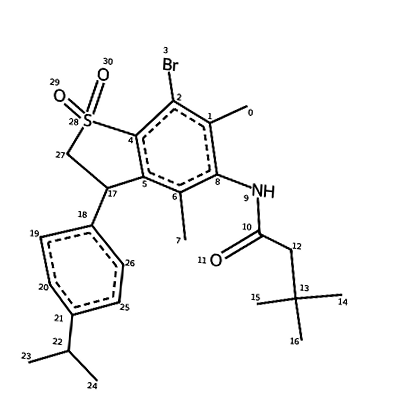 Cc1c(Br)c2c(c(C)c1NC(=O)CC(C)(C)C)C(c1ccc(C(C)C)cc1)CS2(=O)=O